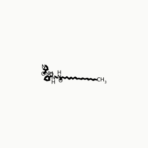 CCC=CCC=CCC=CCC=CCC=CCCCC(=O)NCCNC(=O)c1ccccc1NC(=O)c1cccnc1